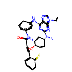 CCn1cnc2c(Nc3cccc(NC(=O)C#CC4=CC=CCC4=S)c3)nc(N[C@H]3CC[C@H](O)CC3)nc21